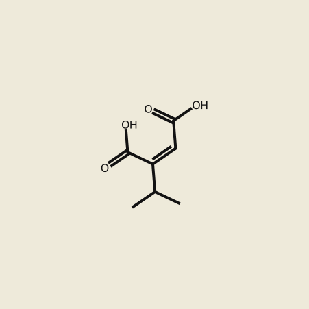 CC(C)C(=CC(=O)O)C(=O)O